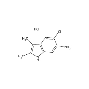 Cc1[nH]c2cc(N)c(Cl)cc2c1C.Cl